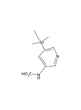 [CH3][Sn]([CH3])([CH3])[c]1cncc(NC(=O)O)c1